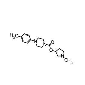 Cc1ccc(N2CCN(C(=O)OC3CCN(C)C3)CC2)cc1